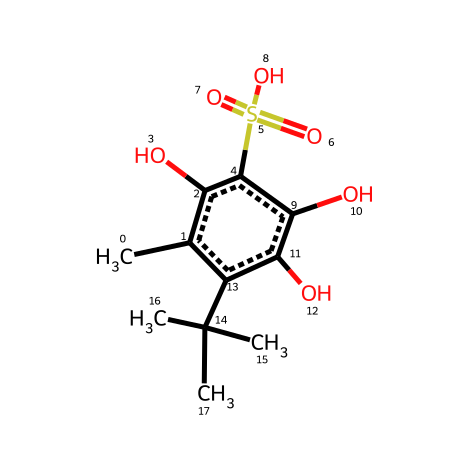 Cc1c(O)c(S(=O)(=O)O)c(O)c(O)c1C(C)(C)C